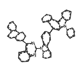 c1ccc(-n2c3ccccc3c3c4ccccc4c(-c4ccc5c(c4)c4ccccc4n5-c4nc(-c5ccc6c(ccc7ccccc76)c5)c5ccccc5n4)cc32)cc1